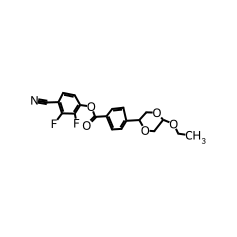 CCOC1COC(c2ccc(C(=O)Oc3ccc(C#N)c(F)c3F)cc2)CO1